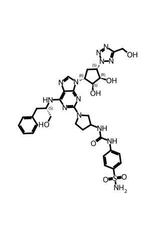 NS(=O)(=O)c1ccc(NC(=O)NC2CCN(c3nc(N[C@H](CO)Cc4ccccc4)c4ncn([C@@H]5C[C@H](n6nnc(CO)n6)[C@@H](O)[C@H]5O)c4n3)C2)cc1